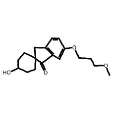 COCCCOc1ccc2c(c1)C(=O)C1(CCC(O)CC1)C2